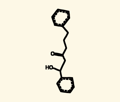 O=C(CCCc1ccccc1)CC(O)c1ccccc1